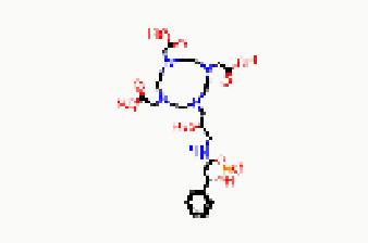 O=C(O)CN1CCN(CC(=O)O)CCN(CC(O)CNC(CCc2ccccc2)O[PH](=O)O)CCN(CC(=O)O)CC1